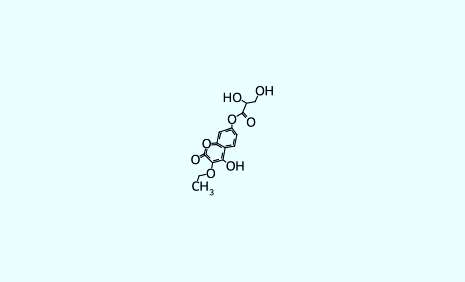 CCOc1c(O)c2ccc(OC(=O)C(O)CO)cc2oc1=O